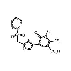 CCn1c(C(F)(F)F)c(C(=O)O)cc(-c2csc(CS(=O)(=O)c3ccccn3)n2)c1=O